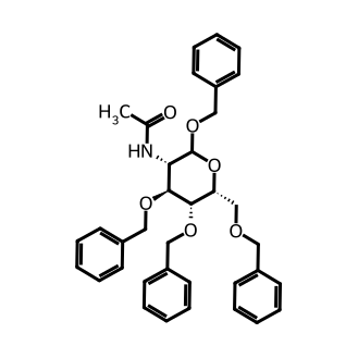 CC(=O)N[C@@H]1C(OCc2ccccc2)O[C@H](COCc2ccccc2)[C@H](OCc2ccccc2)[C@H]1OCc1ccccc1